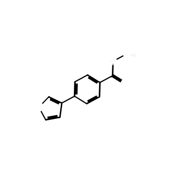 CC(C)(C)OC(=O)c1ccc(-c2ccoc2)cc1